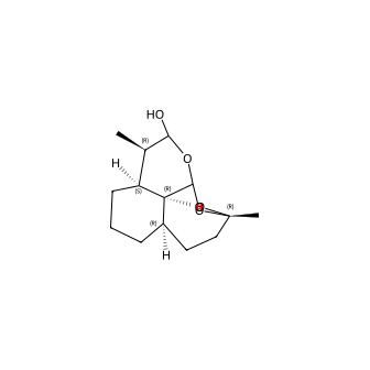 C[C@H]1C(O)OC2O[C@@]3(C)CC[C@H]4CCC[C@@H]1[C@@]24OO3